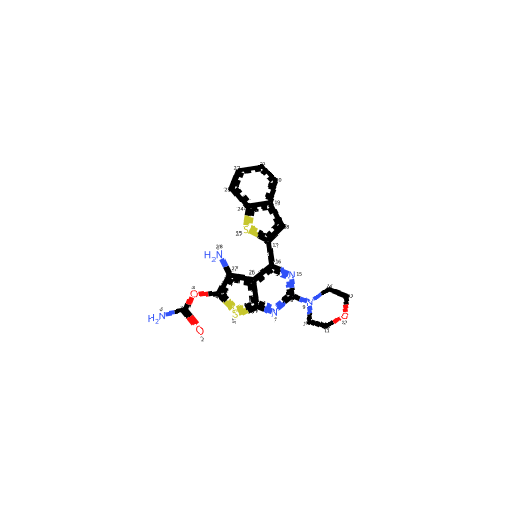 NC(=O)Oc1sc2nc(N3CCOCC3)nc(-c3cc4ccccc4s3)c2c1N